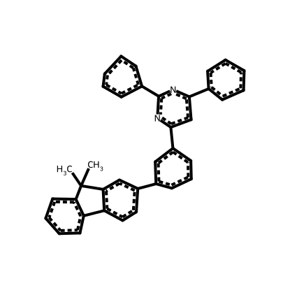 CC1(C)c2ccccc2-c2ccc(-c3cccc(-c4cc(-c5ccccc5)nc(-c5ccccc5)n4)c3)cc21